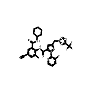 Cc1cc(C#N)cc(C(=O)NC2CCCCC2)c1NC(=O)c1cc(Cn2nnc(C(F)(F)F)n2)nn1-c1ncccc1Cl